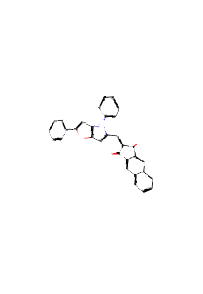 O=C1C(=Cc2cc3oc(-c4ccccc4)cc3n2-c2ccccc2)C(=O)c2cc3ccccc3cc21